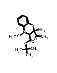 C.CC(=O)C1(N)Sc2ccccc2N(Cl)C1C(=O)OC(C)(C)C